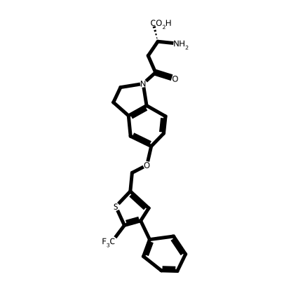 N[C@H](CC(=O)N1CCc2cc(OCc3cc(-c4ccccc4)c(C(F)(F)F)s3)ccc21)C(=O)O